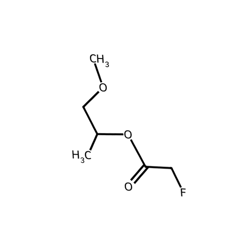 COCC(C)OC(=O)CF